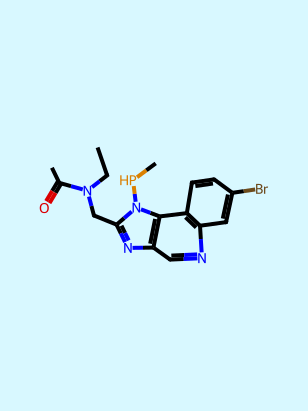 CCN(Cc1nc2cnc3cc(Br)ccc3c2n1PC)C(C)=O